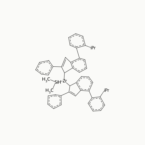 CC(C)c1ccccc1-c1cccc2c1C=C(c1ccccc1)[CH]2[Zr]([CH]1C(c2ccccc2)=Cc2c(-c3ccccc3C(C)C)cccc21)[SiH](C)C